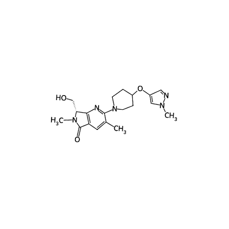 Cc1cc2c(nc1N1CCC(Oc3cnn(C)c3)CC1)[C@@H](CO)N(C)C2=O